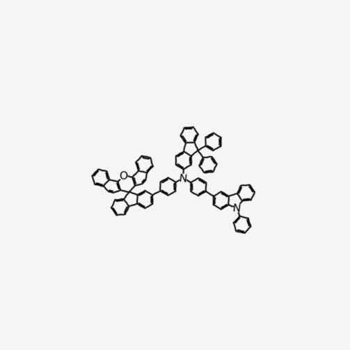 c1ccc(-n2c3ccccc3c3cc(-c4ccc(N(c5ccc(-c6ccc7c(c6)C6(c8ccccc8-7)c7ccc8ccccc8c7Oc7c6ccc6ccccc76)cc5)c5ccc6c(c5)C(c5ccccc5)(c5ccccc5)c5ccccc5-6)cc4)ccc32)cc1